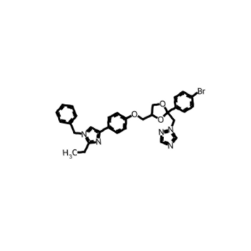 CCc1nc(-c2ccc(OCC3COC(Cn4cncn4)(c4ccc(Br)cc4)O3)cc2)cn1Cc1ccccc1